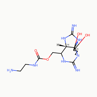 N=C1N[C@H]2C(COC(=O)NCCN)NC(=N)N3CCC(O)(O)[C@]23N1